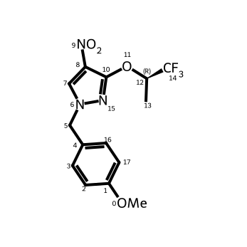 COc1ccc(Cn2cc([N+](=O)[O-])c(O[C@H](C)C(F)(F)F)n2)cc1